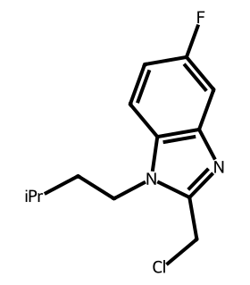 CC(C)CCn1c(CCl)nc2cc(F)ccc21